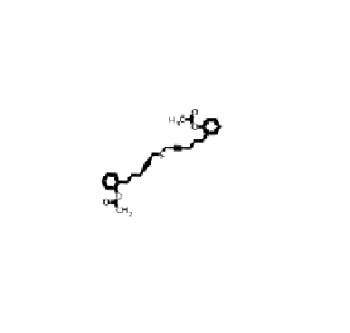 CC(=O)Oc1ccccc1CCCC#CCSCC#CCCCc1ccccc1OC(C)=O